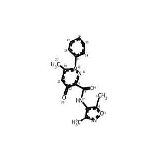 Cc1noc(C)c1NC(=O)c1nn(-c2ccccc2)c(C)cc1=O